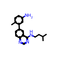 Cc1ccc(N)cc1-c1ccc2ncnc(NCCC(C)C)c2c1